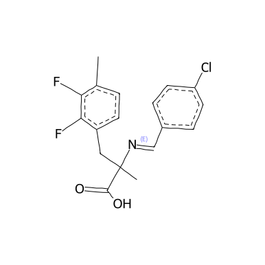 Cc1ccc(CC(C)(/N=C/c2ccc(Cl)cc2)C(=O)O)c(F)c1F